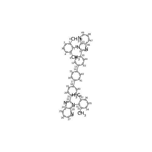 Cc1cccc(C)c1-n1c(-c2ccc(-c3ccc(-c4ccc(-c5nc6cccnc6n5-c5c(C)cccc5C)cc4)cc3)cc2)nc2cccnc21